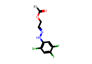 CCC(=O)OCC=NNc1cc(F)c(F)cc1Br